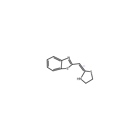 C(=C1/NCCS1)/c1nc2ccccc2s1